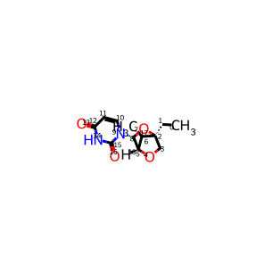 CC[C@]12CO[C@@H](C1C)[C@H](n1ccc(=O)[nH]c1=O)O2